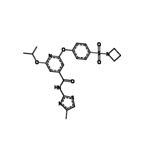 Cc1csc(NC(=O)c2cc(Oc3ccc(S(=O)(=O)N4CCC4)cc3)nc(OC(C)C)c2)n1